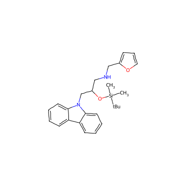 CC(C)(C)[Si](C)(C)OC(CNCc1ccco1)Cn1c2ccccc2c2ccccc21